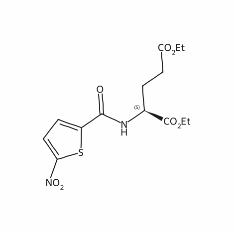 CCOC(=O)CC[C@H](NC(=O)c1ccc([N+](=O)[O-])s1)C(=O)OCC